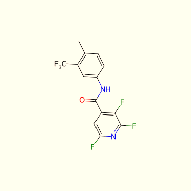 Cc1ccc(NC(=O)c2cc(F)nc(F)c2F)cc1C(F)(F)F